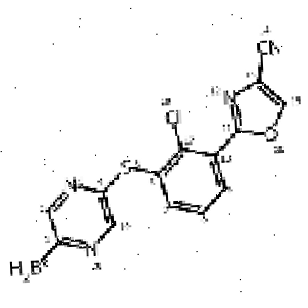 Bc1cnc(Sc2cccc(-c3nc(C#N)co3)c2Cl)cn1